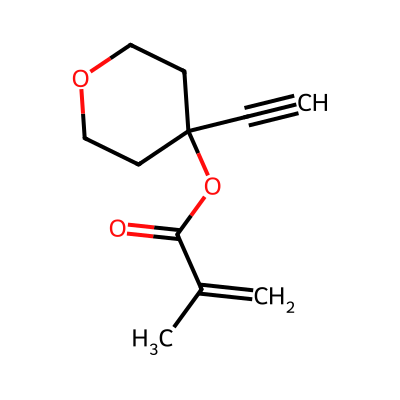 C#CC1(OC(=O)C(=C)C)CCOCC1